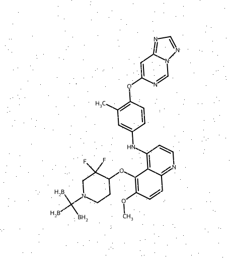 BC(B)(B)N1CCC(Oc2c(OC)ccc3nccc(Nc4ccc(Oc5cc6ncnn6cn5)c(C)c4)c23)C(F)(F)C1